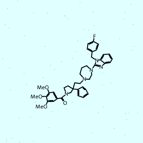 COc1cc(C(=O)N2CCC(CCN3CCCN(c4nc5ccccc5n4Cc4ccc(F)cc4)CC3)(c3ccccc3)C2)cc(OC)c1OC